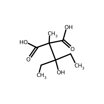 CCC(O)(CC)C(C)(C(=O)O)C(=O)O